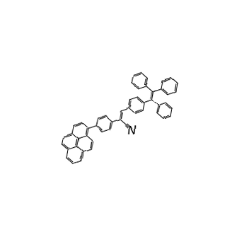 N#C/C(=C\c1ccc(C(=C(c2ccccc2)c2ccccc2)c2ccccc2)cc1)c1ccc(-c2ccc3ccc4cccc5ccc2c3c45)cc1